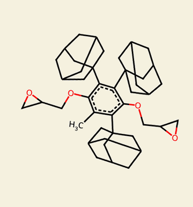 Cc1c(OCC2CO2)c(C23CC4CC(CC(C4)C2)C3)c(C23CC4CC(CC(C4)C2)C3)c(OCC2CO2)c1C12CC3CC(CC(C3)C1)C2